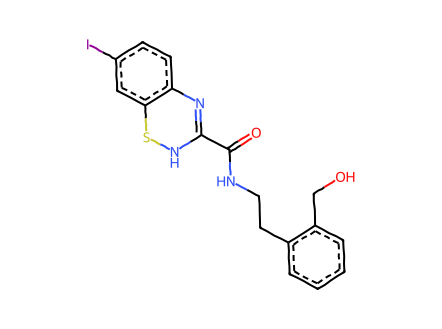 O=C(NCCc1ccccc1CO)C1=Nc2ccc(I)cc2SN1